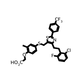 Cc1cc(SCc2sc(-c3ccc(C(F)(F)F)cc3)nc2CCc2c(F)cccc2Cl)ccc1OCC(=O)O